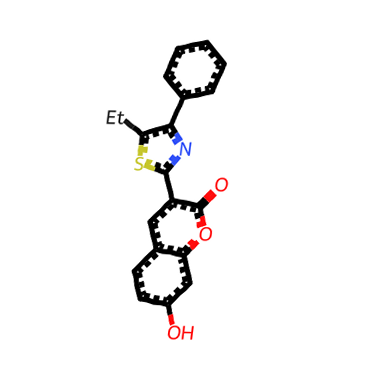 CCc1sc(-c2cc3ccc(O)cc3oc2=O)nc1-c1ccccc1